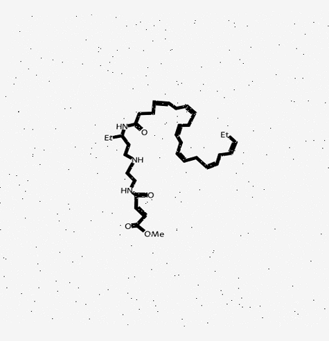 CC/C=C\C/C=C\C/C=C\C/C=C\C/C=C\C/C=C\CCC(=O)NC(CC)CCNCCNC(=O)C=CC(=O)OC